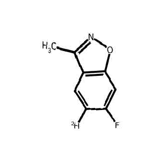 [2H]c1cc2c(C)noc2cc1F